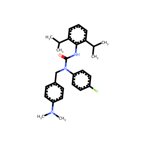 CC(C)c1cccc(C(C)C)c1NC(=O)N(Cc1ccc(N(C)C)cc1)c1ccc(F)cc1